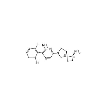 Nc1nc(N2CC[C@@]3(CC[C@@H]3N)C2)cnc1-c1c(Cl)cccc1Cl